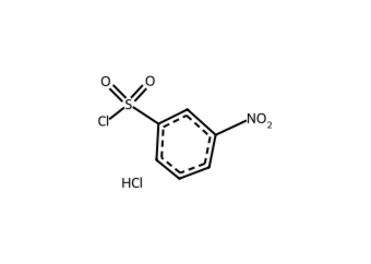 Cl.O=[N+]([O-])c1cccc(S(=O)(=O)Cl)c1